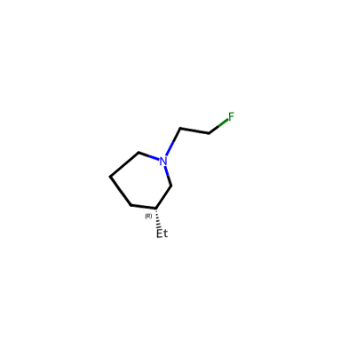 CC[C@@H]1CCCN(CCF)C1